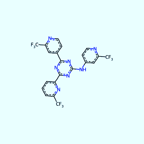 FC(F)(F)c1cc(Nc2nc(-c3ccnc(C(F)(F)F)c3)nc(-c3cccc(C(F)(F)F)n3)n2)ccn1